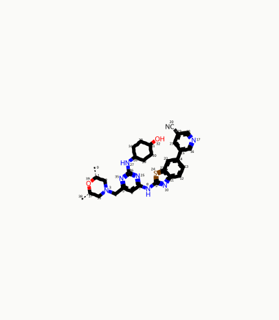 C[C@@H]1CN(Cc2cc(Nc3nc4ccc(-c5cncc(C#N)c5)cc4s3)nc(NC3CCC(O)CC3)n2)C[C@H](C)O1